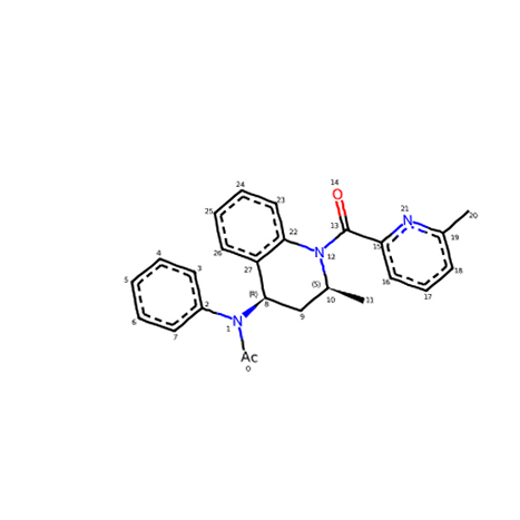 CC(=O)N(c1ccccc1)[C@@H]1C[C@H](C)N(C(=O)c2cccc(C)n2)c2ccccc21